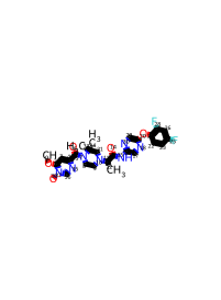 COc1cc(C(=O)N2CCN(C(C)C(=O)Nc3cnc(Oc4ccc(F)cc4F)cn3)CC2(C)C)nc[n+]1[O-]